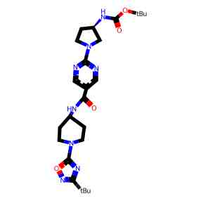 CC(C)(C)OC(=O)N[C@@H]1CCN(c2ncc(C(=O)NC3CCN(c4nc(C(C)(C)C)no4)CC3)cn2)C1